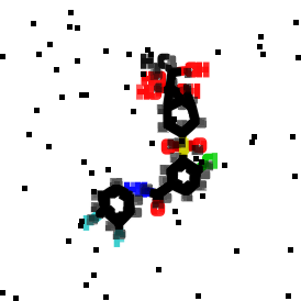 C[C@H](O)[C@@H](O)[C@@]1(O)C2CC(O)C1C[C@H](S(=O)(=O)c1cc(C(=O)Nc3ccc(F)c(F)c3)ccc1Cl)C2